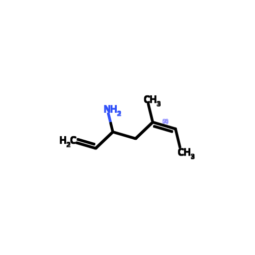 C=CC(N)C/C(C)=C\C